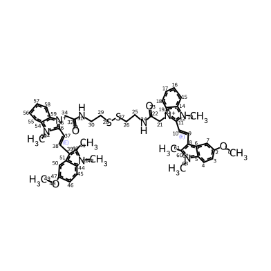 COc1ccc2c(c1)c(/C=C/c1n(C)c3ccccc3[n+]1CC(=O)NCCSSCCNC(=O)C[n+]1c(/C=C/c3c(C)n(C)c4ccc(OC)cc34)n(C)c3ccccc31)c(C)n2C